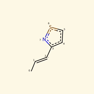 C/C=[C]/c1ccsn1